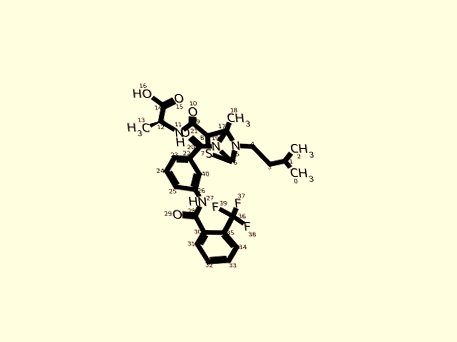 CC(C)CCN1C2SC(C(=O)N[C@@H](C)C(=O)O)C1(C)N2C(=O)c1cccc(NC(=O)c2ccccc2C(F)(F)F)c1